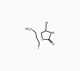 CCC1COC(=O)N1.O=C(O)CCCI